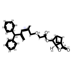 C=C(/C=C(/C)COCC(=O)OC1C2CC3(C2)C(=O)O[C@@H]13)C(c1ccccc1)c1ccccc1